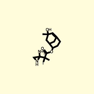 CC1(O)C=C2CCC(OC(=O)C(C)(I)C3(N)CN3)C(C2)C1